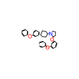 O=C1CCCN1C1CCCCC1.c1ccc(Oc2ccccc2)cc1.c1ccc(Oc2ccccc2)cc1